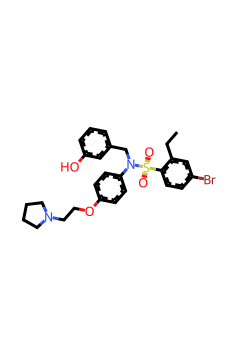 CCc1cc(Br)ccc1S(=O)(=O)N(Cc1cccc(O)c1)c1ccc(OCCN2CCCC2)cc1